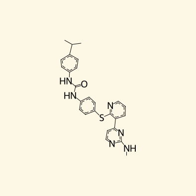 CNc1nccc(-c2cccnc2Sc2ccc(NC(=O)Nc3ccc(C(C)C)cc3)cc2)n1